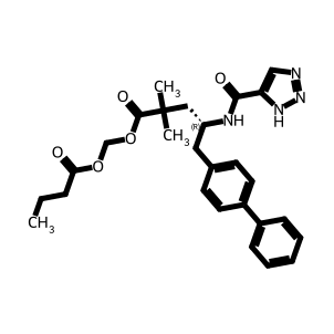 CCCC(=O)OCOC(=O)C(C)(C)C[C@@H](Cc1ccc(-c2ccccc2)cc1)NC(=O)c1cnn[nH]1